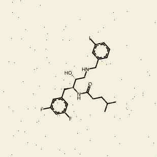 CC(C)CCC(=O)N[C@@H](Cc1cc(F)cc(F)c1)[C@H](O)CNCc1cccc(I)c1